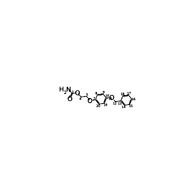 NC(=O)OCCOc1ccc(OCc2ccccc2)cc1